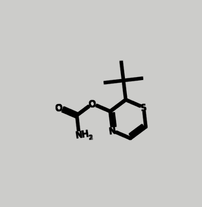 CC(C)(C)C1SC=CN=C1OC(N)=O